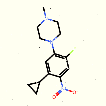 CN1CCN(c2cc(C3CC3)c([N+](=O)[O-])cc2F)CC1